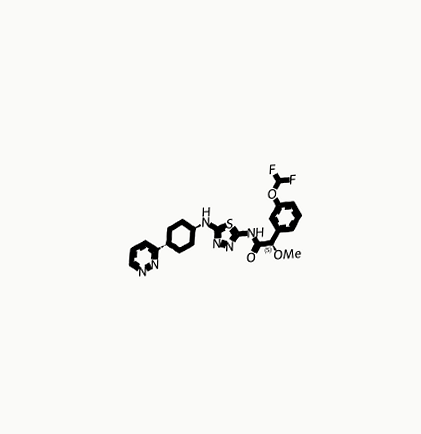 CO[C@H](C(=O)Nc1nnc(N[C@H]2CC[C@@H](c3cccnn3)CC2)s1)c1cccc(OC(F)F)c1